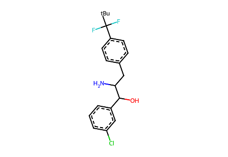 CC(C)(C)C(F)(F)c1ccc(CC(N)C(O)c2cccc(Cl)c2)cc1